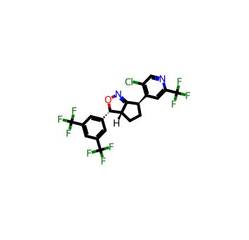 FC(F)(F)c1cc([C@@H]2ON=C3[C@@H](c4cc(C(F)(F)F)ncc4Cl)CC[C@@H]32)cc(C(F)(F)F)c1